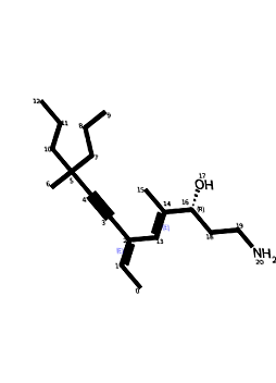 C/C=C(C#CC(C)(CCC)CCC)\C=C(/C)[C@H](O)CCN